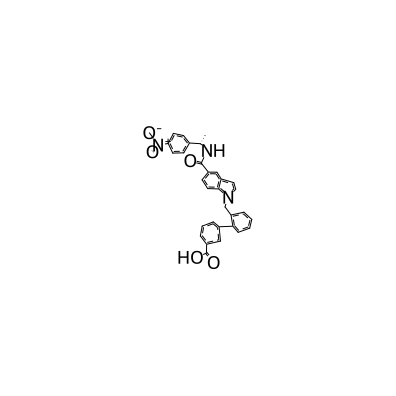 C[C@H](NC(=O)c1ccc2c(ccn2Cc2ccccc2-c2cccc(C(=O)O)c2)c1)c1ccc([N+](=O)[O-])cc1